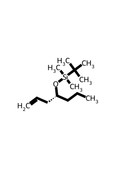 C=CC[C@@H](CCC)O[Si](C)(C)C(C)(C)C